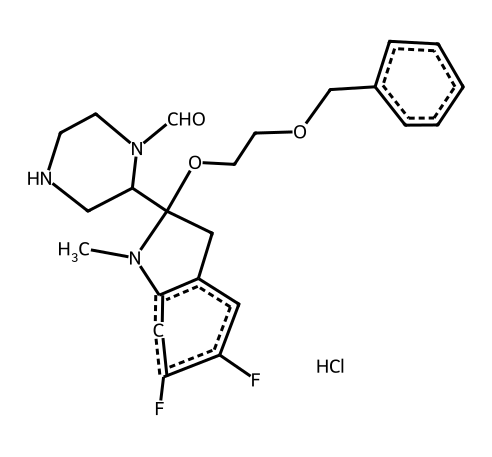 CN1c2cc(F)c(F)cc2CC1(OCCOCc1ccccc1)C1CNCCN1C=O.Cl